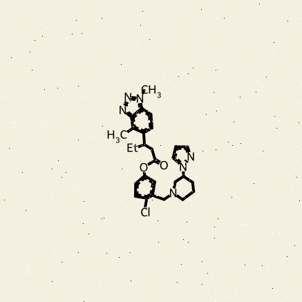 CCC(CC(=O)Oc1ccc(Cl)c(CN2CCCC(n3cccn3)C2)c1)c1ccc2c(nnn2C)c1C